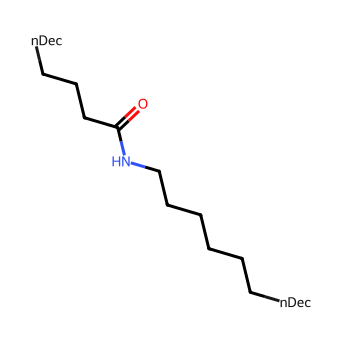 CCCCCCCCCCCCCCCCNC(=O)CCCCCCCCCCCCC